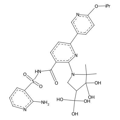 CC(C)Oc1ccc(-c2ccc(C(=O)NS(=O)(=O)c3cccnc3N)c(N3CC(C(O)(O)O)C(O)(O)C3(C)C)n2)cn1